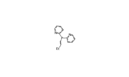 CCC=CP(c1ccccn1)c1ccccn1